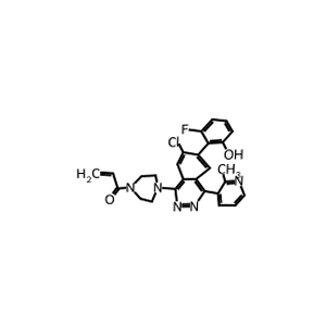 C=CC(=O)N1CCN(c2nnc(-c3cccnc3C)c3cc(-c4c(O)cccc4F)c(Cl)cc23)CC1